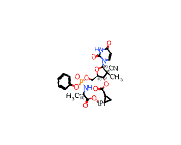 CC(C)OC(=O)[C@H](C)NP(=O)(OC[C@H]1O[C@@H](n2ccc(=O)[nH]c2=O)[C@](C)(C#N)[C@@H]1OC(=O)C1CC1)Oc1ccccc1